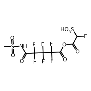 CS(=O)(=O)NC(=O)C(F)(F)C(F)(F)C(F)(F)C(=O)OC(=O)C(F)S(=O)(=O)O